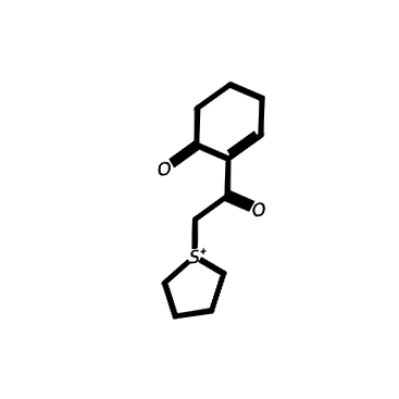 O=C1CCCC=C1C(=O)C[S+]1CCCC1